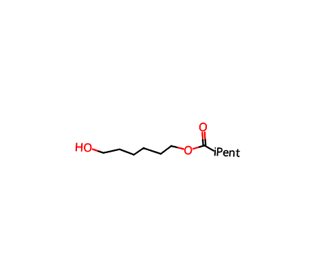 CCCC(C)C(=O)OCCCCCCO